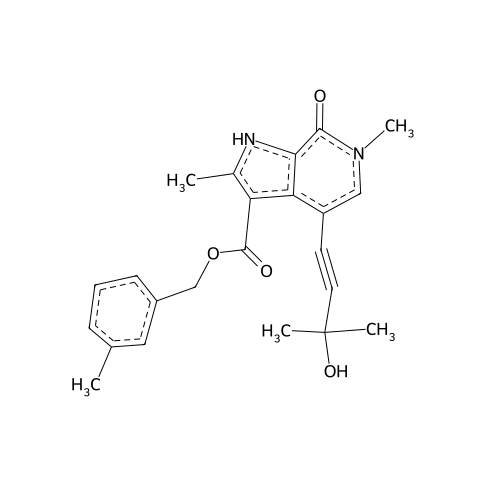 Cc1cccc(COC(=O)c2c(C)[nH]c3c(=O)n(C)cc(C#CC(C)(C)O)c23)c1